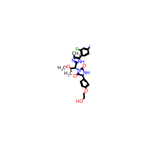 CO[C@H](C)[C@@H](c1nc(C)c(-c2ccc(I)cc2F)[nH]1)N1C(=O)NC(c2ccc(OCCO)cc2)C1=O